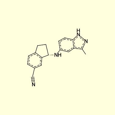 Cc1n[nH]c2ccc(N[C@H]3CCc4ccc(C#N)cc43)cc12